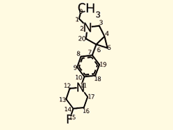 CCN1CC2CC2(c2ccc(N3CCC(F)CC3)cc2)C1